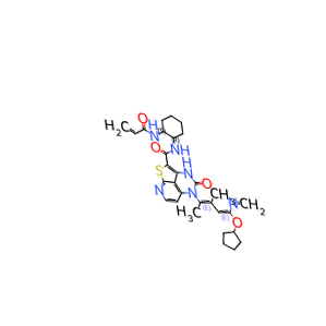 C=CC(=O)N[C@H]1CCCC[C@H]1NC(=O)c1sc2nccc3c2c1NC(=O)N3/C(C)=C(C)/C=C(\N=C)OC1CCCC1